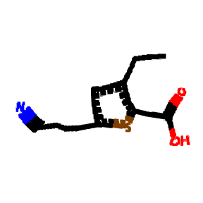 CCc1cc(CC#N)sc1C(=O)O